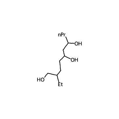 CCCC(O)CC(O)CCC(CC)CO